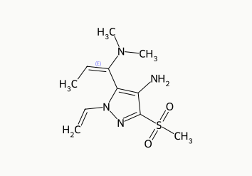 C=Cn1nc(S(C)(=O)=O)c(N)c1/C(=C\C)N(C)C